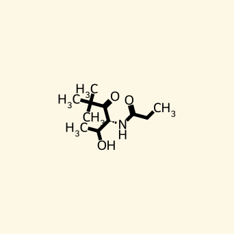 CCC(=O)N[C@@H](C(=O)C(C)(C)C)C(C)O